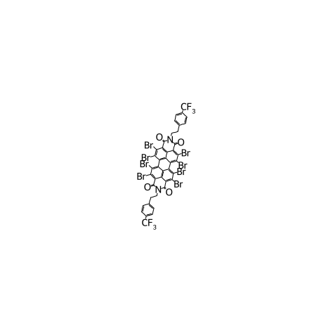 O=C1c2c(Br)c(Br)c3c4c(Br)c(Br)c5c6c(c(Br)c(Br)c(c7c(Br)c(Br)c(c2c37)C(=O)N1CCc1ccc(C(F)(F)F)cc1)c64)C(=O)N(CCc1ccc(C(F)(F)F)cc1)C5=O